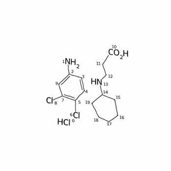 Cl.Nc1ccc(Cl)c(Cl)c1.O=C(O)CCNC1CCCCC1